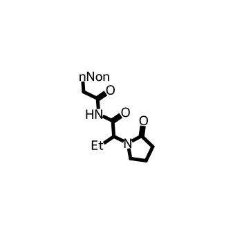 CCCCCCCCCCC(=O)NC(=O)C(CC)N1CCCC1=O